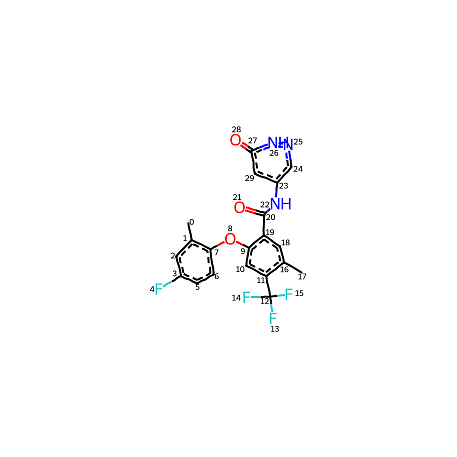 Cc1cc(F)ccc1Oc1cc(C(F)(F)F)c(C)cc1C(=O)Nc1cn[nH]c(=O)c1